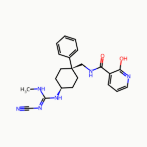 CN/C(=N\C#N)N[C@H]1CC[C@](CNC(=O)c2cccnc2O)(c2ccccc2)CC1